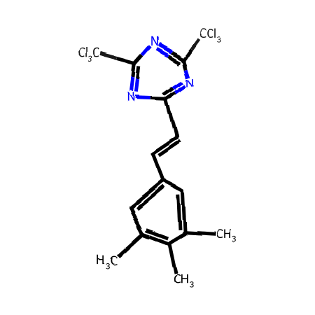 Cc1cc(C=Cc2nc(C(Cl)(Cl)Cl)nc(C(Cl)(Cl)Cl)n2)cc(C)c1C